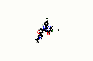 Cc1nc2c(-c3ccc(F)cc3F)nc(C3CCO[C@H](c4cnn(C5CC5)c4)C3)cn2c(=O)c1F